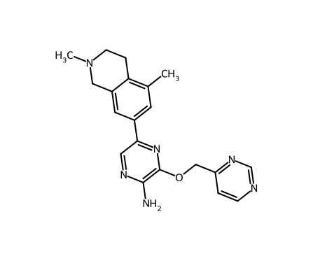 Cc1cc(-c2cnc(N)c(OCc3ccncn3)n2)cc2c1CCN(C)C2